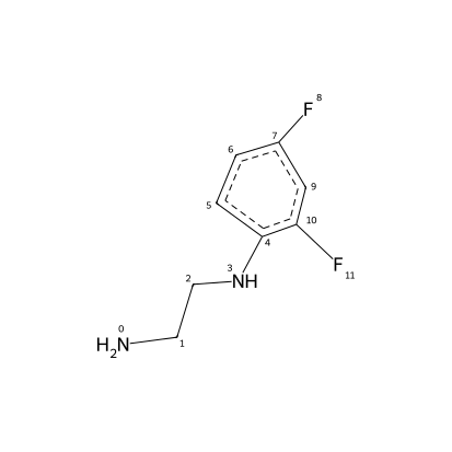 NCCNc1ccc(F)cc1F